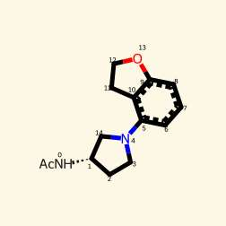 CC(=O)N[C@H]1CCN(c2cccc3c2CCO3)C1